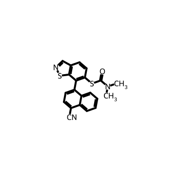 CN(C)C(=O)Sc1ccc2cnsc2c1-c1ccc(C#N)c2ccccc12